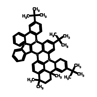 CC(C)(C)C1=CCC2C(=C1)C1(C)CCC(C)(C)c3ccc4c(c31)N2c1cc(C(C)(C)C)cc2c1B4c1c(sc3ccccc13)N2c1ccc(C(C)(C)C)cc1-c1ccccc1